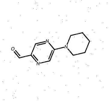 O=Cc1cnc(N2CC[CH]CC2)cn1